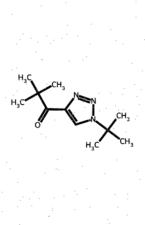 CC(C)(C)C(=O)c1cn(C(C)(C)C)nn1